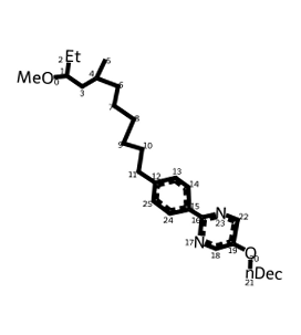 [CH2]OC(CC)CC(C)CCCCCCc1ccc(-c2ncc(OCCCCCCCCCC)cn2)cc1